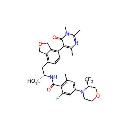 Cc1cc(N2CCOC[C@@H]2C(F)(F)F)cc(F)c1C(=O)N[C@@H](Cc1ccc(-c2c(C)nc(C)n(C)c2=O)c2c1COC2)C(=O)O